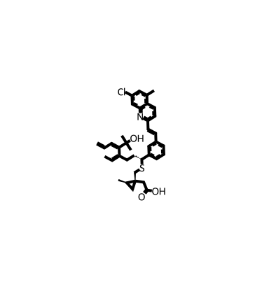 C=C/C=C(\C(=C/C)CC[C@@H](SC[C@@]1(CC(=O)O)C[C@H]1C)c1cccc(/C=C/c2ccc3c(C)cc(Cl)cc3n2)c1)C(C)(C)O